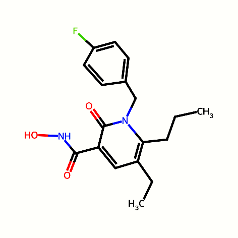 CCCc1c(CC)cc(C(=O)NO)c(=O)n1Cc1ccc(F)cc1